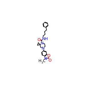 Cn1c(=O)oc2cc(N3CCN(C(=O)NCCCCc4ccccc4)C4(CC4)C3)ccc21